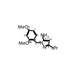 COc1ccc(Cn2nc(C(C)C)cc2N)c(OC)c1